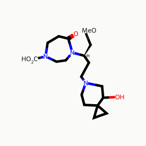 COC[C@@H](CCN1CCC2(CC2)C(O)C1)N1CCN(C(=O)O)CCC1=O